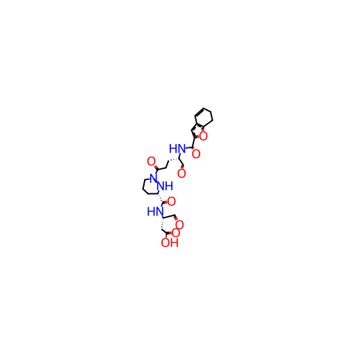 O=C[C@H](CCC(=O)N1CCC[C@@H](C(=O)N[C@H](C=O)CC(=O)O)N1)NC(=O)c1cc2c(o1)CCC=C2